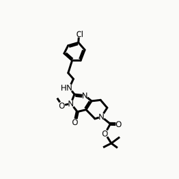 COn1c(NCCc2ccc(Cl)cc2)nc2c(c1=O)CN(C(=O)OC(C)(C)C)CC2